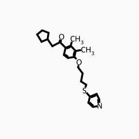 Cc1c(OCCCCSc2ccncc2)ccc(C(=O)CC2CCCC2)c1C